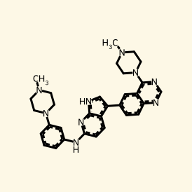 CN1CCN(c2cccc(Nc3ccc4c(-c5ccc6ncnc(N7CCN(C)CC7)c6c5)c[nH]c4n3)c2)CC1